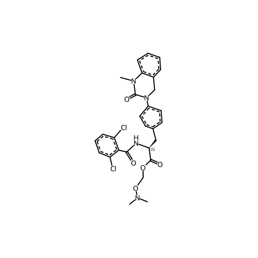 CN(C)OCOC(=O)[C@H](Cc1ccc(N2Cc3ccccc3N(C)C2=O)cc1)NC(=O)c1c(Cl)cccc1Cl